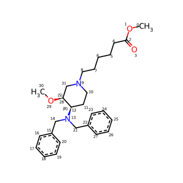 COC(=O)CCCCCN1CC[C@@H](N(Cc2ccccc2)Cc2ccccc2)[C@@H](OC)C1